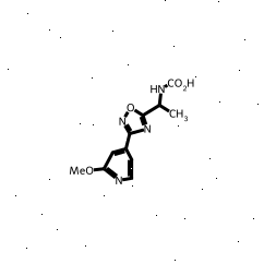 COc1cc(-c2noc(C(C)NC(=O)O)n2)ccn1